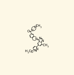 COc1ccc(-c2cc(C)c3ncnc(N4CCc5ccc(C(=O)N6CCN(C)CC6)cc5C4)c3c2)nn1